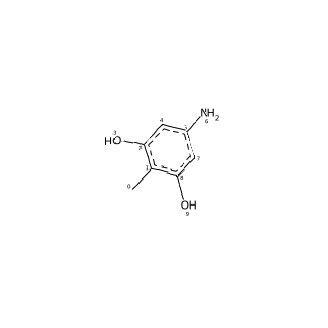 Cc1c(O)cc(N)cc1O